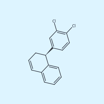 Clc1ccc([C@@H]2CC=Cc3ccccc32)cc1Cl